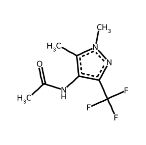 CC(=O)Nc1c(C(F)(F)F)nn(C)c1C